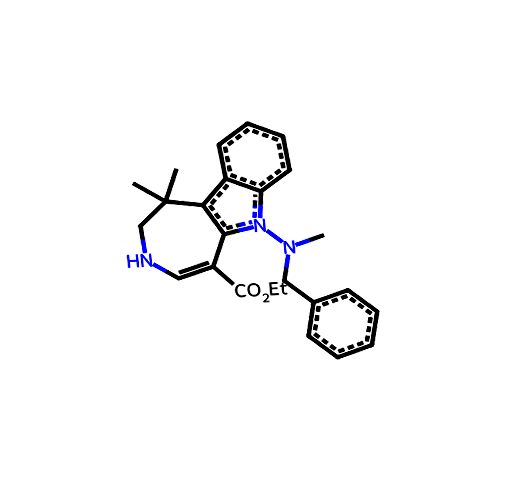 CCOC(=O)C1=CNCC(C)(C)c2c1n(N(C)Cc1ccccc1)c1ccccc21